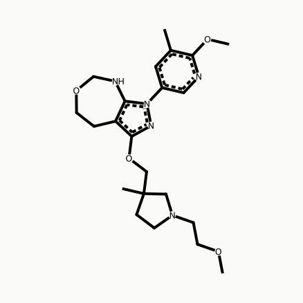 COCCN1CCC(C)(COc2nn(-c3cnc(OC)c(C)c3)c3c2CCOCN3)C1